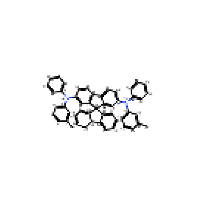 Cc1cccc(N(c2ccccc2)c2ccc3c(c2)C2(C4=CC=CCC4c4ccccc42)c2cc(N(c4ccccc4)c4cccc(C)c4)ccc2-3)c1